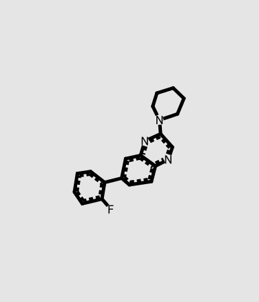 Fc1ccccc1-c1ccc2ncc(N3CCCCC3)nc2c1